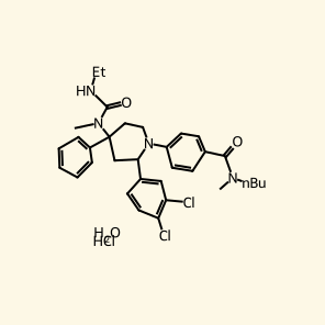 CCCCN(C)C(=O)c1ccc(N2CCC(c3ccccc3)(N(C)C(=O)NCC)CC2c2ccc(Cl)c(Cl)c2)cc1.Cl.O